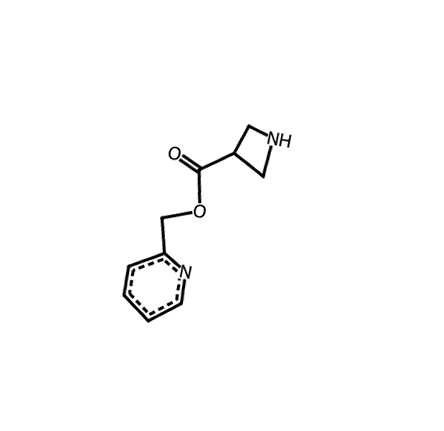 O=C(OCc1ccccn1)C1CNC1